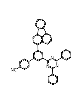 N#Cc1ccc(-c2cc(-c3nc(-c4ccccc4)nc(-c4ccccc4)n3)cc(-c3ccc4c5c(cccc35)-c3ccccc3-4)c2)cc1